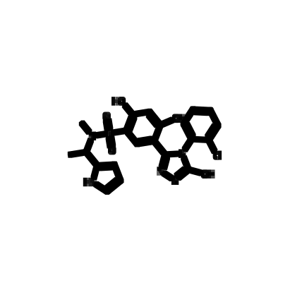 CC(c1ccc[nH]1)N(C)S(=O)(=O)c1cc(-c2nnc(O)n2-c2ccccc2Cl)c(O)cc1O